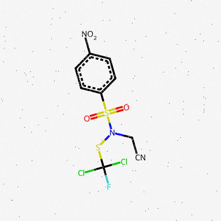 N#CCN(SC(F)(Cl)Cl)S(=O)(=O)c1ccc([N+](=O)[O-])cc1